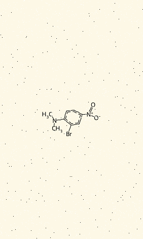 CN(C)c1ccc([N+](=O)[O-])cc1Br